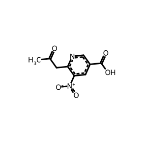 CC(=O)Cc1ncc(C(=O)O)cc1[N+](=O)[O-]